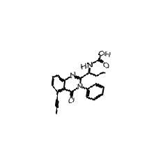 CC#Cc1cccc2nc(C(CC)NC(=O)O)n(-c3ccccc3)c(=O)c12